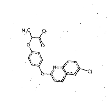 CC(Oc1ccc(Oc2ccc3cc(Cl)ccc3n2)cc1)C([O])=O